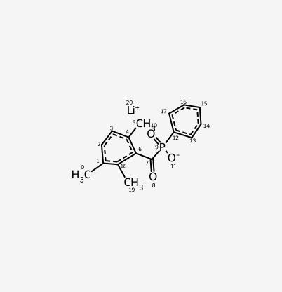 Cc1ccc(C)c(C(=O)P(=O)([O-])c2ccccc2)c1C.[Li+]